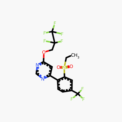 CCS(=O)(=O)c1cc(C(F)(F)F)ccc1-c1cc(OCC(F)(F)C(F)(F)F)ncn1